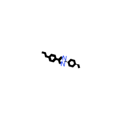 CCCc1ccc(-c2cnc([C@H]3CC[C@H](CC)CC3)nc2)cc1